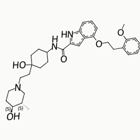 COc1ccccc1CCOc1cccc2[nH]c(C(=O)NC3CCC(O)(CCN4CC[C@H](O)[C@@H](C)C4)CC3)cc12